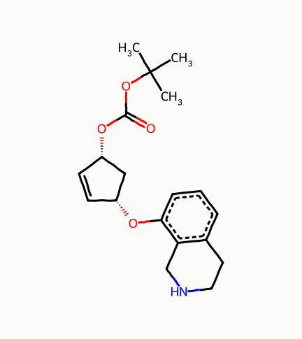 CC(C)(C)OC(=O)O[C@H]1C=C[C@@H](Oc2cccc3c2CNCC3)C1